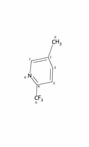 Cc1ccc(C(F)(F)F)nc1